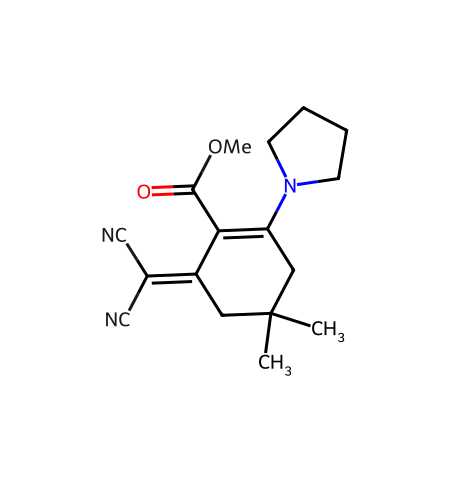 COC(=O)C1=C(N2CCCC2)CC(C)(C)CC1=C(C#N)C#N